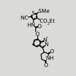 CCOC(=O)c1c(SC)sc(C#N)c1NC(=O)COc1cccc2c(C3CCC(=O)NC3=O)nn(C)c12